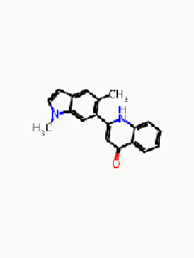 Cc1cc2ccn(C)c2cc1-c1cc(=O)c2ccccc2[nH]1